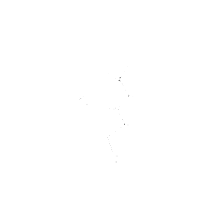 Cl.O=C(O)CNCCO